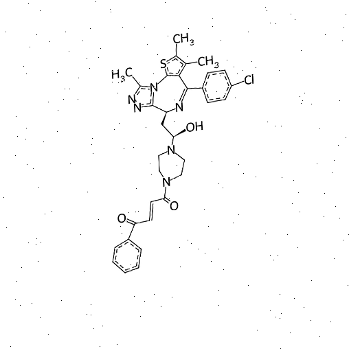 Cc1sc2c(c1C)C(c1ccc(Cl)cc1)=N[C@@H](C[C@@H](O)N1CCN(C(=O)/C=C/C(=O)c3ccccc3)CC1)c1nnc(C)n1-2